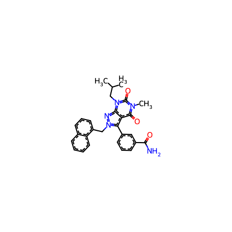 CC(C)Cn1c(=O)n(C)c(=O)c2c(-c3cccc(C(N)=O)c3)n(Cc3cccc4ccccc34)nc21